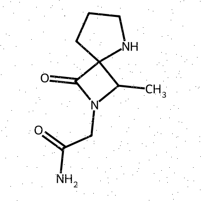 CC1N(CC(N)=O)C(=O)C12CCCN2